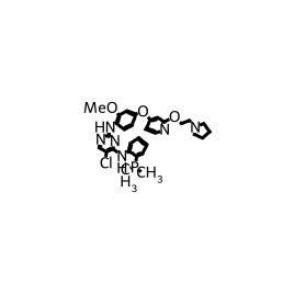 COc1cc(Oc2ccnc(OCCN3CCCC3)c2)ccc1Nc1ncc(Cl)c(Nc2ccccc2P(C)C)n1